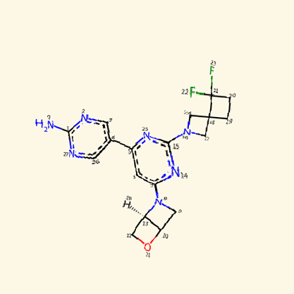 Nc1ncc(-c2cc(N3CC4OC[C@H]43)nc(N3CC4(CCC4(F)F)C3)n2)cn1